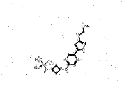 COCOc1cc(-c2cnc(O[C@H]3C[C@@H](O[Si](C)(C)C(C)(C)C)C3)cn2)on1